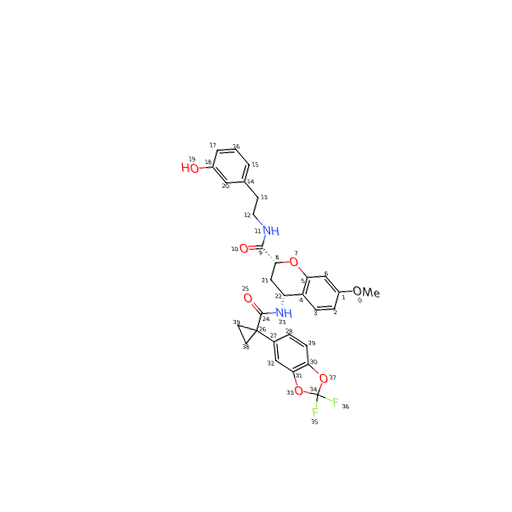 COc1ccc2c(c1)O[C@@H](C(=O)NCCc1cccc(O)c1)C[C@H]2NC(=O)C1(c2ccc3c(c2)OC(F)(F)O3)CC1